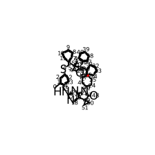 Cc1cc(SCc2ccccc2)ccc1Nc1ncc2c(n1)N([C@@H]1CCC[C@@H](O[Si](c3ccccc3)(c3ccccc3)C(C)(C)C)C1)C(=O)C21CC1